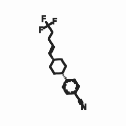 N#Cc1ccc([C@H]2CC[C@H](C=CCCC(F)(F)F)CC2)cc1